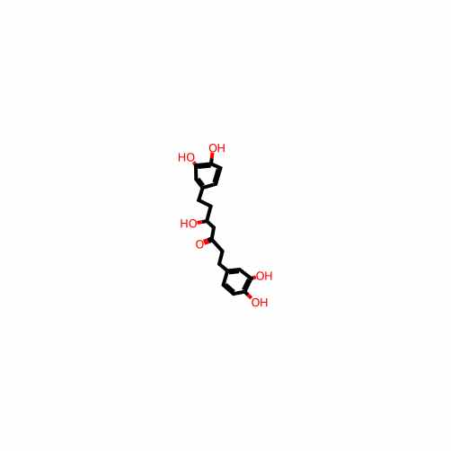 O=C(CCc1ccc(O)c(O)c1)CC(O)CCc1ccc(O)c(O)c1